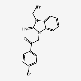 CC(C)Cn1c(=N)n(CC(=O)c2ccc(Br)cc2)c2ccccc21